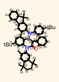 Cc1cc2c(cc1N1c3cc(C(C)(C)C)cc4c3B(c3c1oc1ccccc31)N(c1ccc(C(C)(C)C)cc1)c1cc3c(cc1-4)-c1ccccc1C3(C)C)C(C)(C)CCC2(C)C